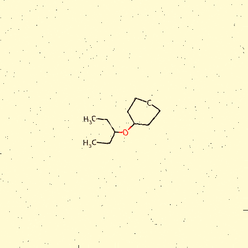 CCC(CC)OC1CCCCC1